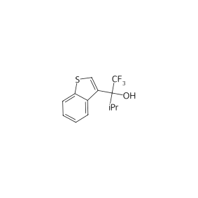 CC(C)C(O)(c1csc2ccccc12)C(F)(F)F